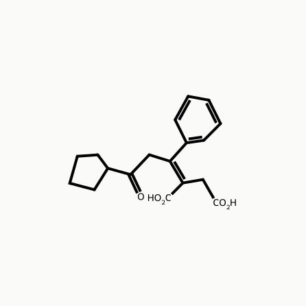 O=C(O)CC(C(=O)O)=C(CC(=O)C1CCCC1)c1ccccc1